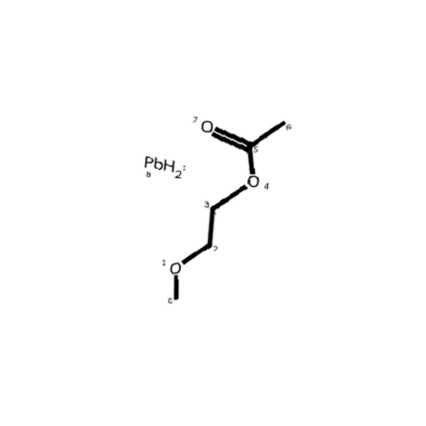 COCCOC(C)=O.[PbH2]